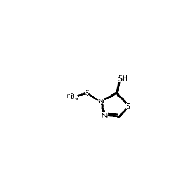 CCCCSN1N=CSC1S